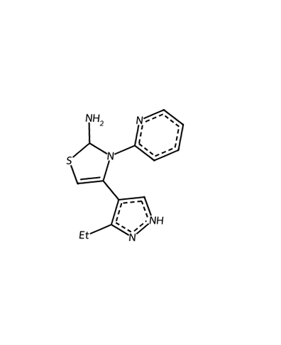 CCc1n[nH]cc1C1=CSC(N)N1c1ccccn1